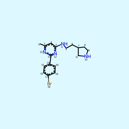 Cc1cc(NCCC2CCNC2)nc(-c2ccc(Br)cc2)n1